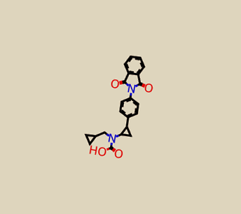 O=C1c2ccccc2C(=O)N1c1ccc(C2CC2N(CC2CC2)C(=O)O)cc1